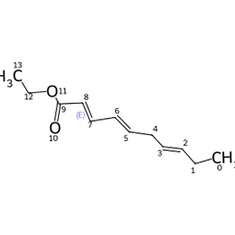 CCC=CCC=C/C=C/C(=O)OCC